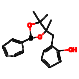 CC1(C)OB(c2ccccc2)OC1(C)Cc1ccccc1O